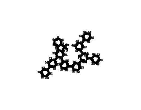 CC1(C)c2ccccc2-c2cc(-c3ccc(-c4ccccc4)cc3)c(-c3cccc(-c4cccc(-c5nc(-c6ccccc6)nc(-c6cccc(-c7ccccc7)c6)n5)c4)c3)cc21